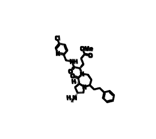 COC(=O)CC[C@H](C(=O)NCc1ccc(Cl)cn1)N1CCC(CCc2ccccc2)N2C[C@H](N)C[C@H]2C1=O